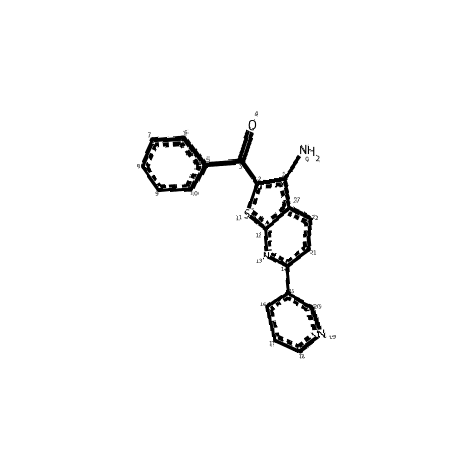 Nc1c(C(=O)c2ccccc2)sc2nc(-c3cccnc3)ccc12